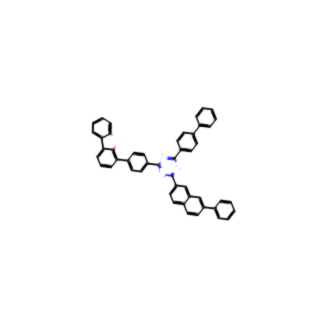 c1ccc(-c2ccc(-c3nc(-c4ccc(-c5cccc6c5oc5ccccc56)cc4)nc(-c4ccc5ccc(-c6ccccc6)cc5c4)n3)cc2)cc1